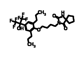 CCCc1cc(C(O)(C(F)(F)F)C(F)(F)F)cc(CCC)c1OCCCCN1C(=O)NC2(CCCC2)C1=O